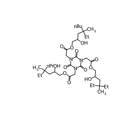 CCCCC(C)(CC)CC(O)COC(=O)Cn1c(=O)n(CC(=O)OCC(O)CC(C)(CC)CC)c(=O)n(CC(=O)OCC(O)CC(C)(CC)CCC)c1=O